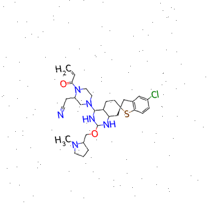 C=CC(=O)N1CCN(C2NC(OCC3CCCN3C)NC3C[C@@]4(CCC32)Cc2cc(Cl)ccc2S4)CC1CC#N